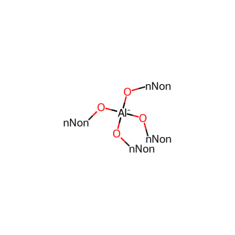 CCCCCCCCC[O][Al-]([O]CCCCCCCCC)([O]CCCCCCCCC)[O]CCCCCCCCC